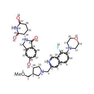 COC[C@@H]1CN(Cc2cc3ccc(N4CCOCC4)c(F)c3cn2)C[C@H]1Oc1ccc2c(c1)CN([C@H]1CCC(=O)NC1=O)C2=O